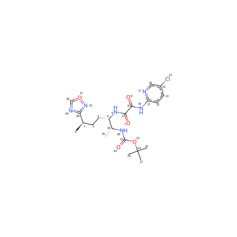 C[C@H](CC[C@H](NC(=O)C(=O)Nc1ccc(Cl)cn1)[C@@H](C)NC(=O)OC(C)(C)C)c1ncon1